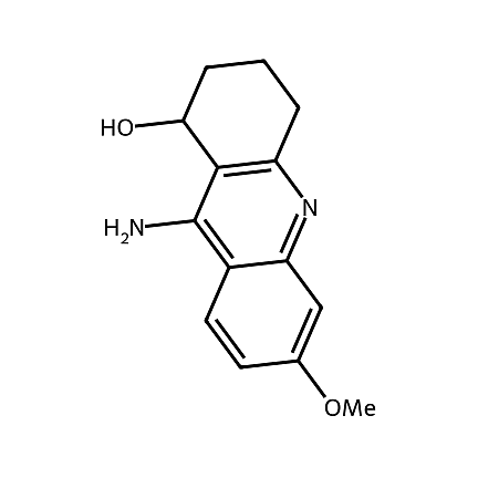 COc1ccc2c(N)c3c(nc2c1)CCCC3O